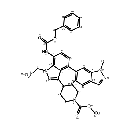 CCOC(=O)Cn1nc(C2CCN(C(=O)OC(C)(C)C)CC2)c2c(-c3cc4c(cnn4C)cc3F)ccc(NC(=O)OCc3ccccc3)c21